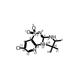 CC(NC1=NS(=O)(=O)c2cc(Cl)cnc2N1)C(C)(C)C